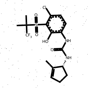 CC1=CCC[C@H]1NC(=O)Nc1ccc(Cl)c(S(=O)(=O)C(C)(C)C(F)(F)F)c1O